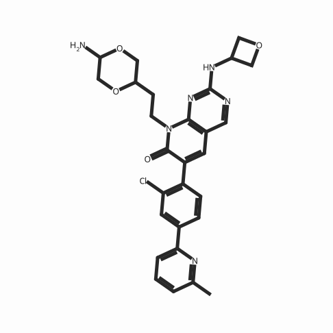 Cc1cccc(-c2ccc(-c3cc4cnc(NC5COC5)nc4n(CCC4COC(N)CO4)c3=O)c(Cl)c2)n1